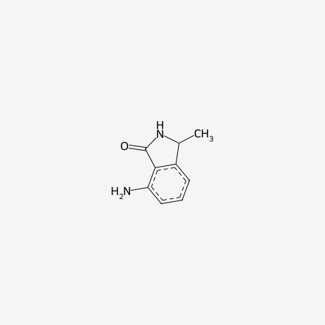 CC1NC(=O)c2c(N)cccc21